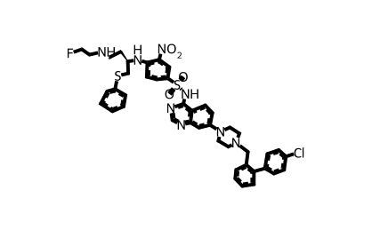 O=[N+]([O-])c1cc(S(=O)(=O)Nc2ncnc3cc(N4CCN(Cc5ccccc5-c5ccc(Cl)cc5)CC4)ccc23)ccc1N[C@H](CCNCCF)CSc1ccccc1